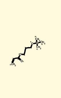 C=CC(=O)OCCCO[Si](C)(C)C